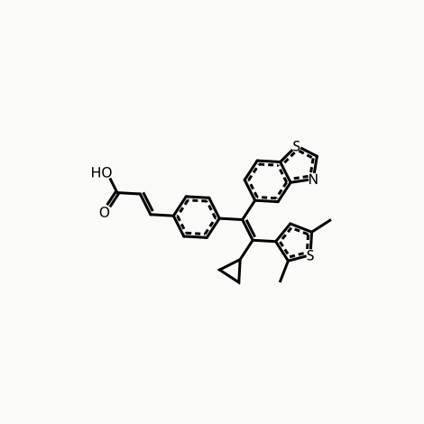 Cc1cc(C(=C(c2ccc(C=CC(=O)O)cc2)c2ccc3scnc3c2)C2CC2)c(C)s1